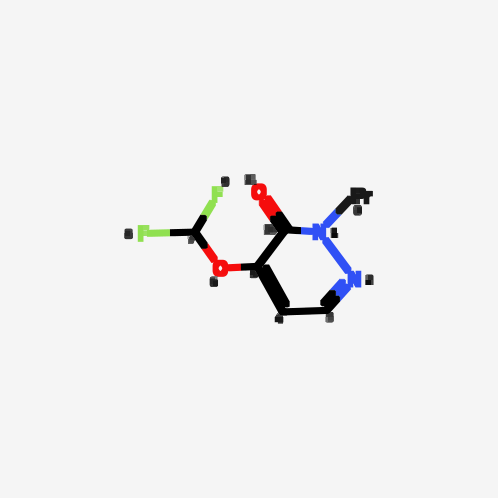 CC(C)n1nccc(OC(F)F)c1=O